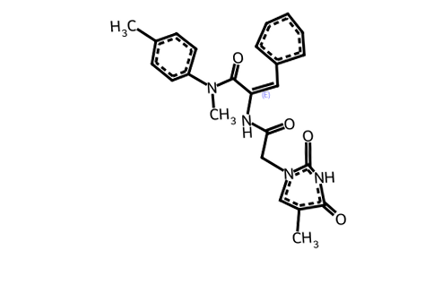 Cc1ccc(N(C)C(=O)/C(=C\c2ccccc2)NC(=O)Cn2cc(C)c(=O)[nH]c2=O)cc1